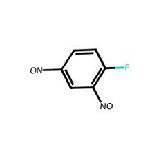 O=Nc1ccc(F)c(N=O)c1